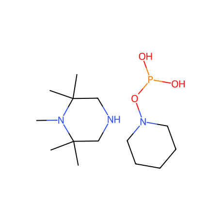 CN1C(C)(C)CNCC1(C)C.OP(O)ON1CCCCC1